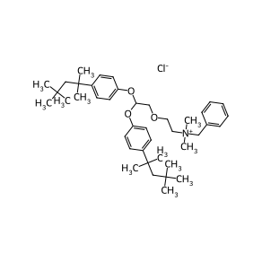 CC(C)(C)CC(C)(C)c1ccc(OC(COCC[N+](C)(C)Cc2ccccc2)Oc2ccc(C(C)(C)CC(C)(C)C)cc2)cc1.[Cl-]